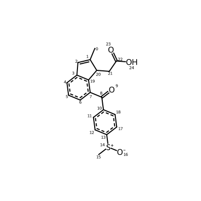 CC1=Cc2cccc(C(=O)c3ccc([S+](C)[O-])cc3)c2C1CC(=O)O